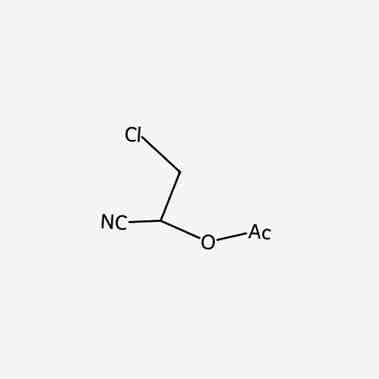 CC(=O)OC(C#N)CCl